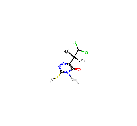 CSc1nnc(C(C)(C)C(Cl)Cl)c(=O)n1C